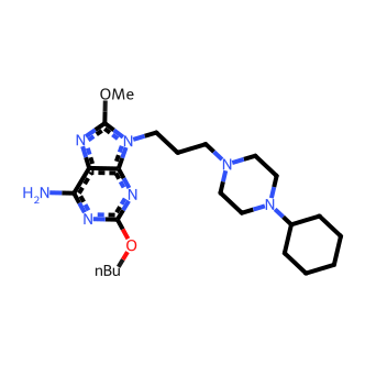 CCCCOc1nc(N)c2nc(OC)n(CCCN3CCN(C4CCCCC4)CC3)c2n1